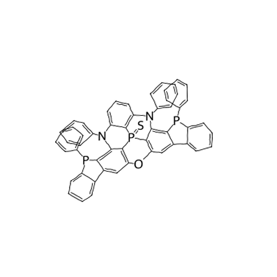 S=P12c3c4cccc3N(c3ccccc3)c3c1c(cc1c5ccccc5p(-c5ccccc5)c31)Oc1cc3c5ccccc5p(-c5ccccc5)c3c(c12)N4c1ccccc1